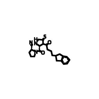 N#C[C@@H]1CCCN1C(=O)[C@H]1NCC(=S)C1C(=O)CCCC1Cc2ccccc2C1